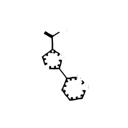 O=C(O)c1csc(-c2cccnn2)n1